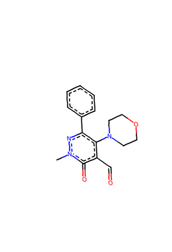 Cn1nc(-c2ccccc2)c(N2CCOCC2)c(C=O)c1=O